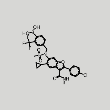 CNC(=O)c1c(-c2ccc(Cl)cc2)oc2cc(N(Cc3ccc(B(O)O)c(C(F)(F)F)c3)S(C)(=O)=O)c(C3CC3)cc12